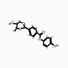 CCCc1ccc(OC(=O)c2ccc(C3OCC(CCC)C(C)O3)cc2)cc1